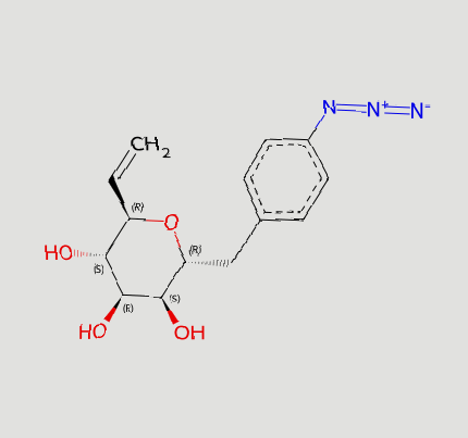 C=C[C@H]1O[C@H](Cc2ccc(N=[N+]=[N-])cc2)[C@@H](O)[C@@H](O)[C@@H]1O